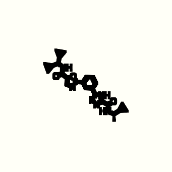 C[C@@H](NC(=O)c1nnc(-c2cccc(-c3ncc(C(=O)NC(C4CC4)C4CC4)o3)c2)[nH]1)C1CC1